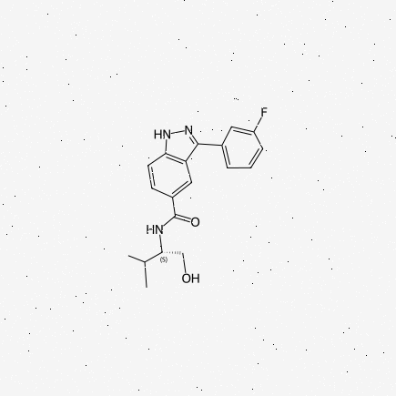 CC(C)[C@@H](CO)NC(=O)c1ccc2[nH]nc(-c3cccc(F)c3)c2c1